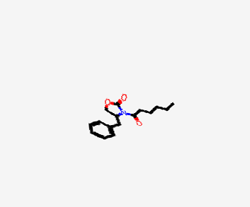 CCCCCC(=O)N1C(=O)OCC1Cc1ccccc1